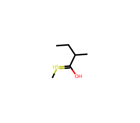 CCC(C)C(O)=[SH]C